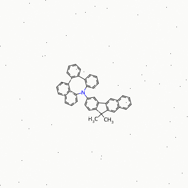 CC1(C)c2ccc(N3c4ccccc4-c4ccccc4-c4cccc5cccc3c45)cc2-c2cc3ccccc3cc21